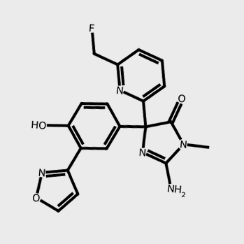 CN1C(=O)C(c2ccc(O)c(-c3ccon3)c2)(c2cccc(CF)n2)N=C1N